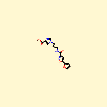 COC(=O)c1cn(CCCNC(=O)c2cc(-c3ccco3)on2)cn1